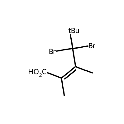 CC(C(=O)O)=C(C)C(Br)(Br)C(C)(C)C